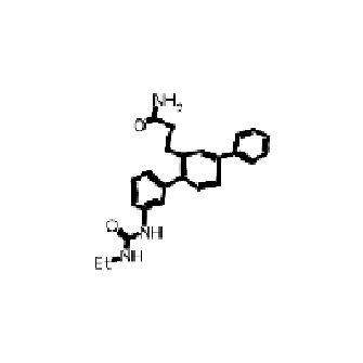 CCNC(=O)Nc1cccc(-c2ccc(-c3ccccc3)cc2CCC(N)=O)c1